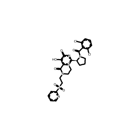 O=C1c2c(O)c(=O)nc([C@@H]3CCCN3C(=O)c3c(Cl)cccc3Cl)n2CCN1CCS(=O)(=O)c1ccccn1